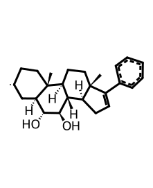 C[C@]12CC[CH]C[C@@H]1[C@@H](O)[C@H](O)[C@@H]1[C@@H]2CC[C@]2(C)C(c3ccccc3)=CC[C@@H]12